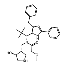 COCC(=O)N(C[C@@H]1CNC[C@H]1O)[C@@H](C1NC(c2ccccc2)=CN1Cc1ccccc1)C(C)(C)C